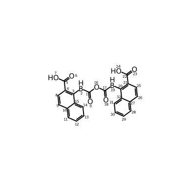 O=C(Bc1c(C(=O)O)ccc2ccccc12)OC(=O)Bc1c(C(=O)O)ccc2ccccc12